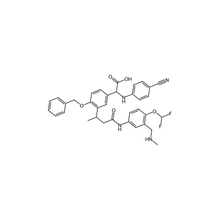 CNCc1cc(NC(=O)CC(C)c2cc(C(Nc3ccc(C#N)cc3)C(=O)O)ccc2OCc2ccccc2)ccc1OC(F)F